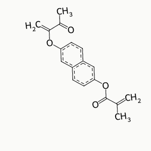 C=C(C)C(=O)Oc1ccc2cc(OC(=C)C(C)=O)ccc2c1